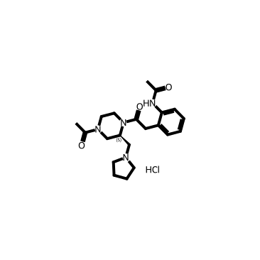 CC(=O)Nc1ccccc1CC(=O)N1CCN(C(C)=O)C[C@@H]1CN1CCCC1.Cl